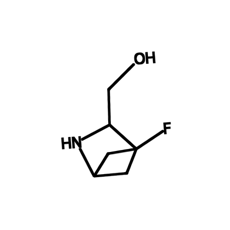 OCC1NC2CC1(F)C2